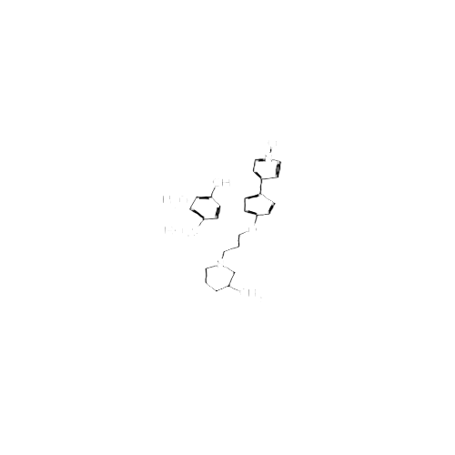 CC1CCCN(CCCOc2ccc(-c3cc[n+]([O-])cc3)cc2)C1.Cc1ccc(S(=O)(=O)O)cc1.O